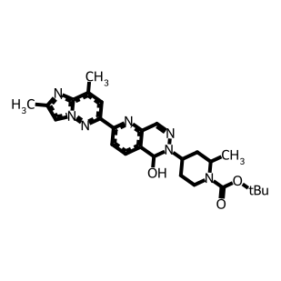 Cc1cn2nc(-c3ccc4c(n3)C=NN(C3CCN(C(=O)OC(C)(C)C)C(C)C3)C4O)cc(C)c2n1